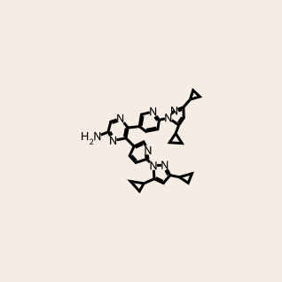 Nc1cnc(-c2ccc(-n3nc(C4CC4)cc3C3CC3)nc2)c(-c2ccc(-n3nc(C4CC4)cc3C3CC3)nc2)n1